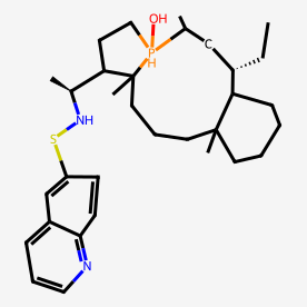 CC[C@H]1CC(C)[PH]2(O)CCC([C@H](C)NSc3ccc4ncccc4c3)C2(C)CCCC2(C)CCCCC12